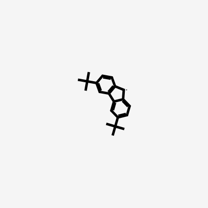 CC(C)(C)c1ccc2c(c1)-c1cc(C(C)(C)C)ccc1[CH]2